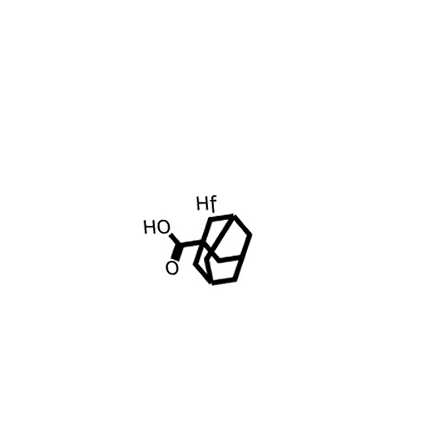 O=C(O)C12CC3CC(CC(C3)C1)C2.[Hf]